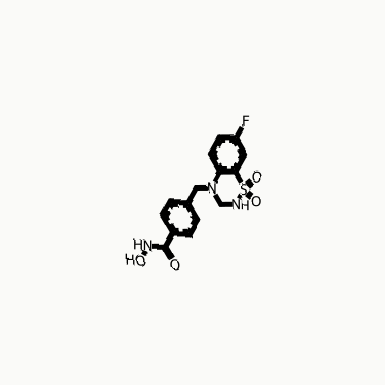 O=C(NO)c1ccc(CN2CNS(=O)(=O)c3cc(F)ccc32)cc1